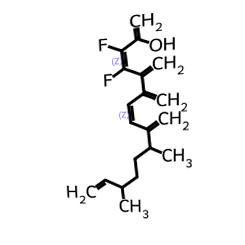 C=CC(C)CCC(C)C(=C)/C=C\C(=C)C(=C)/C(F)=C(/F)C(=C)O